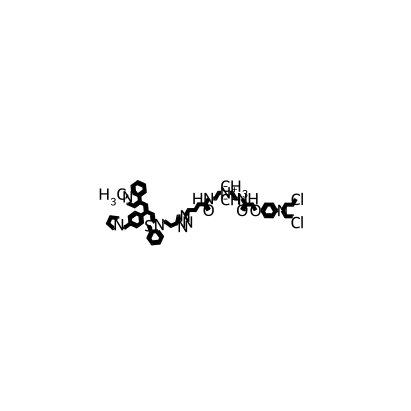 C[n+]1ccc(/C=C(/C=C2\Sc3ccccc3N2CCc2cn(CCCC(=O)NCC[N+](C)(C)CCNC(=O)COc3ccc(N(CCCl)CCCl)cc3)nn2)c2ccc(CN3CCCC3)cc2)c2ccccc21